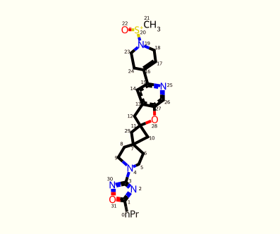 CCCc1nc(N2CCC3(CC2)CC2(Cc4cc(C5=CCN([S+](C)[O-])CC5)ncc4O2)C3)no1